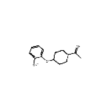 CC(=N)N1CCC(Oc2ccccc2[C]=O)CC1